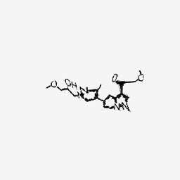 COC[C@H](O)Cn1cc(-c2ccn3ncc(C(=O)OC)c3c2)c(C)n1